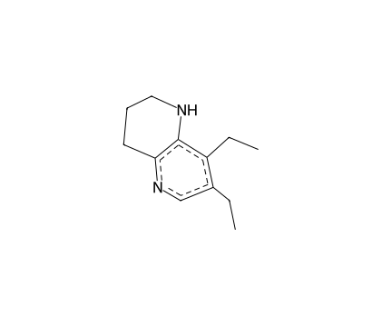 CCc1cnc2c(c1CC)NCCC2